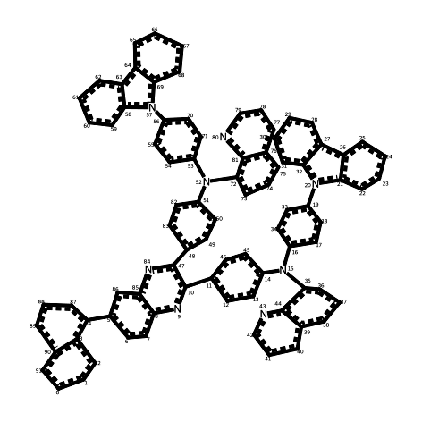 c1ccc2c(-c3ccc4nc(-c5ccc(N(c6ccc(-n7c8ccccc8c8ccccc87)cc6)c6cccc7cccnc67)cc5)c(-c5ccc(N(c6ccc(-n7c8ccccc8c8ccccc87)cc6)c6cccc7cccnc67)cc5)nc4c3)cccc2c1